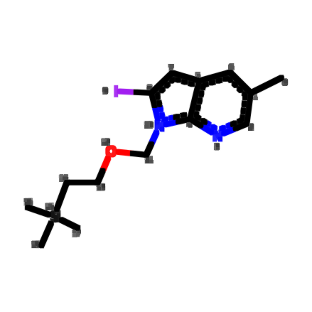 Cc1cnc2c(c1)cc(I)n2COCC[Si](C)(C)C